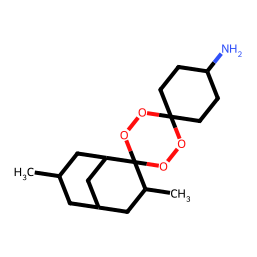 CC1CC2CC(C)C3(OOC4(CCC(N)CC4)OO3)C(C1)C2